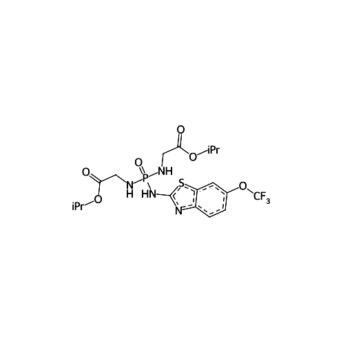 CC(C)OC(=O)CNP(=O)(NCC(=O)OC(C)C)Nc1nc2ccc(OC(F)(F)F)cc2s1